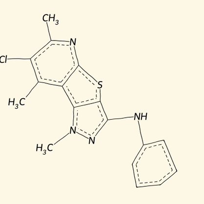 Cc1nc2sc3c(Nc4ccccc4)nn(C)c3c2c(C)c1Cl